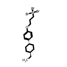 CC[C@H]1CC[C@H](c2ccc(OCCC[Si](Br)(Br)Br)cc2)CC1